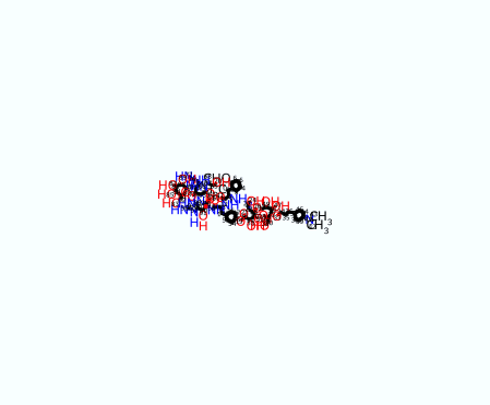 CC(c1ccccc1)C(N)C(=O)NC(Cc1ccc(OC2OC(CO)C(OC3OC(CO)C(OC/C=C/c4ccc(N(C)C)cc4)C(O)C3O)C(O)C2O)cc1)C(=O)NC(C(=O)NC(C(=O)NC([C]=O)CO)C(O)C1CNC(=N)N1C1OC(CO)C(O)C(O)C1O)C(O)C1CNC(=N)N1